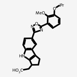 COc1c(OC(C)C)cccc1-c1nc(-c2ccc3[nH]c4c(c3c2)CCC4CC(=O)O)no1